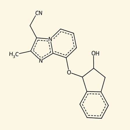 Cc1nc2c(OC3c4ccccc4CC3O)cccn2c1CC#N